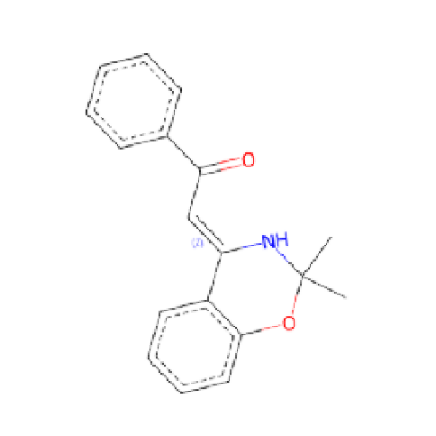 CC1(C)N/C(=C\C(=O)c2ccccc2)c2ccccc2O1